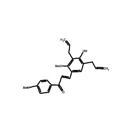 C=CCc1cc(C=CC(=O)c2ccc(NC)cc2)c(OC)c(CC=C)c1O